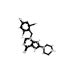 O=c1ncn(Cc2c(F)cc(F)cc2F)c2nc(N3CCOCC3)sc12